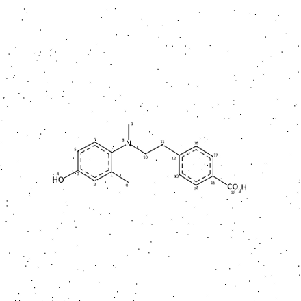 Cc1cc(O)ccc1N(C)CCc1ccc(C(=O)O)cc1